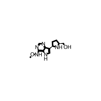 CONc1ncnc2c([C@H]3CC[C@@H](CO)N3)c[nH]c12